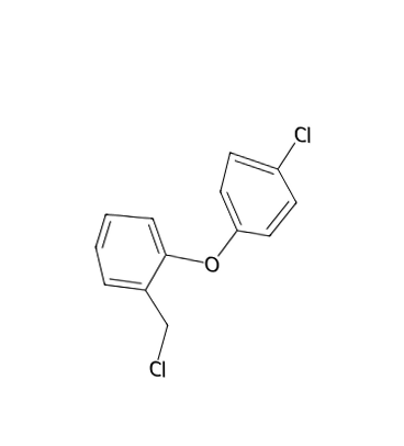 ClCc1ccccc1Oc1ccc(Cl)cc1